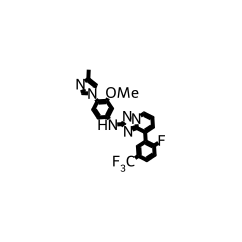 COc1cc(Nc2nc3c(-c4cc(C(F)(F)F)ccc4F)cccn3n2)ccc1-n1cnc(C)c1